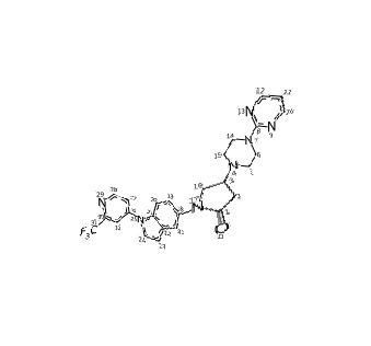 O=C1CC(N2CCN(c3ncccn3)CC2)CN1c1ccc2c(ccn2-c2ccnc(C(F)(F)F)c2)c1